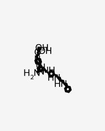 Nc1cc(N2CCN(CCOP(O)O)CC2)nc(NC[C@H]2CC[C@H](CNCCCNCC3CCCCC3)CC2)n1